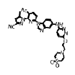 CC(=O)c1ccc(-n2cnc3cc(Nc4ccc(OCCN5CCS(=O)(=O)CC5)nn4)ccc32)nc1-n1nc(C#N)cc1C